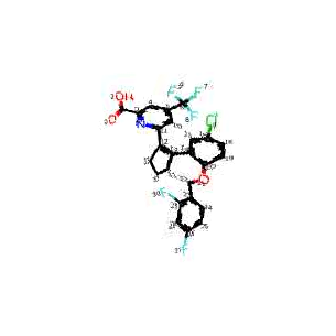 O=C(O)c1cc(C(F)(F)F)cc(C2=C(c3cc(Cl)ccc3OCc3ccc(F)cc3F)CCC2)n1